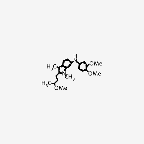 COc1ccc(Nc2ccc3c(C)c(CCC(C)OC)n(C)c3c2)cc1OC